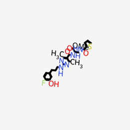 COC(=O)C(CNC(=O)c1cccs1)NC(=O)c1c(C)nc(NCCCc2ccc(F)c(O)c2)nc1C